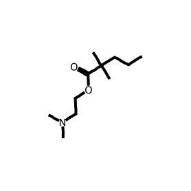 CCCC(C)(C)C(=O)OCCN(C)C